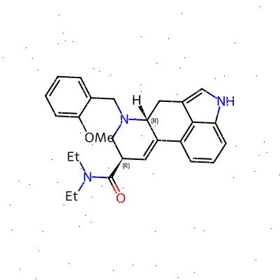 CCN(CC)C(=O)[C@@H]1C=C2c3cccc4[nH]cc(c34)C[C@H]2N(Cc2ccccc2OC)C1